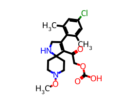 CON1CCC2(CC1)NCC(c1c(C)cc(Cl)cc1C)=C2C(=O)COC(=O)O